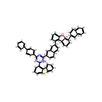 c1ccc(-c2ccc(C3=NC(c4cccc5sc6ccccc6c45)NC(c4ccc5ccc(-c6cccc7oc8c(-c9ccc%10ccccc%10c9)cccc8c67)cc5c4)=N3)cc2)cc1